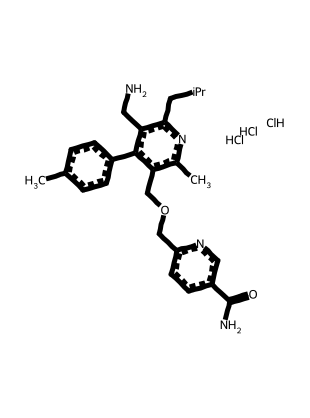 Cc1ccc(-c2c(COCc3ccc(C(N)=O)cn3)c(C)nc(CC(C)C)c2CN)cc1.Cl.Cl.Cl